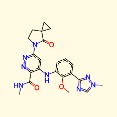 CNC(=O)c1nnc(N2CCC3(CC3)C2=O)cc1Nc1cccc(-c2ncn(C)n2)c1OC